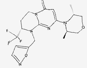 C[C@@H]1COC[C@@H](C)N1c1cc(=O)n2c(n1)N(Cc1ccno1)[C@H](C(F)(F)F)CC2